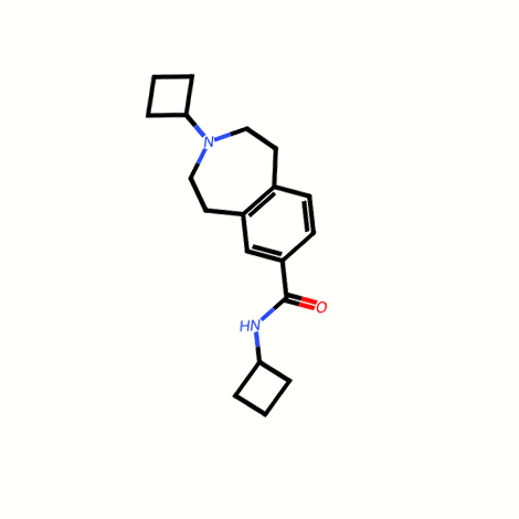 O=C(NC1CCC1)c1ccc2c(c1)CCN(C1CCC1)CC2